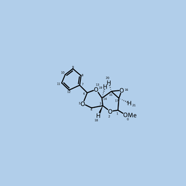 COC1O[C@@H]2COC(c3ccccc3)O[C@H]2[C@H]2O[C@@H]12